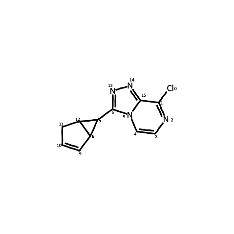 Clc1nccn2c(C3C4C=CCC43)nnc12